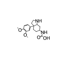 COc1ccc(C23CCNC2CC(NC(=O)O)CC3)cc1OC